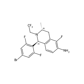 C[C@@H]1Cc2c(ccc(N)c2F)[C@@H](c2c(F)cc(Br)cc2F)N1CC(F)(F)F